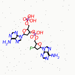 Nc1ncnc2c1ncn2C1CC(F)C(COP(=O)(O)O[C@H]2CC(n3cnc4c(N)ncnc43)OC2COP(=O)(O)O)O1